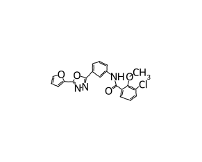 COc1c(Cl)cccc1C(=O)Nc1cccc(-c2nnc(-c3ccco3)o2)c1